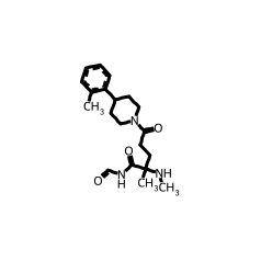 CNC(C)(CCC(=O)N1CCC(c2ccccc2C)CC1)C(=O)NC=O